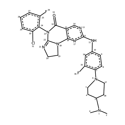 CN(C)C1CCN(c2ccc(Nc3ncc4c(n3)N3CCN=C3N(c3c(F)cccc3Cl)C4=O)cc2F)CC1